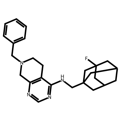 FC12CC3CC(C1)CC(CNc1ncnc4c1CCN(Cc1ccccc1)C4)(C3)C2